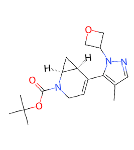 Cc1cnn(C2COC2)c1C1=CCN(C(=O)OC(C)(C)C)[C@H]2C[C@@H]12